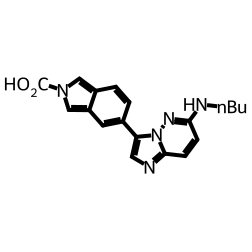 CCCCNc1ccc2ncc(-c3ccc4cn(C(=O)O)cc4c3)n2n1